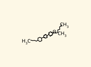 CCCCCC(C)COc1ccc(-c2ccc(C3CCC(CCCCC)CC3)cc2)cc1